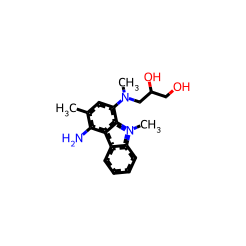 Cc1cc(N(C)CC(O)CO)c2c(c1N)c1ccccc1n2C